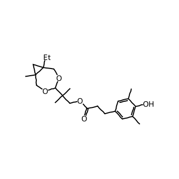 CCC12COC(C(C)(C)COC(=O)CCc3cc(C)c(O)c(C)c3)OCC1(C)C2